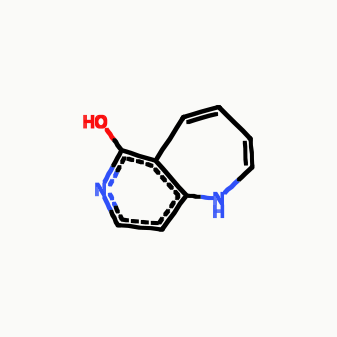 Oc1nccc2c1C=CC=CN2